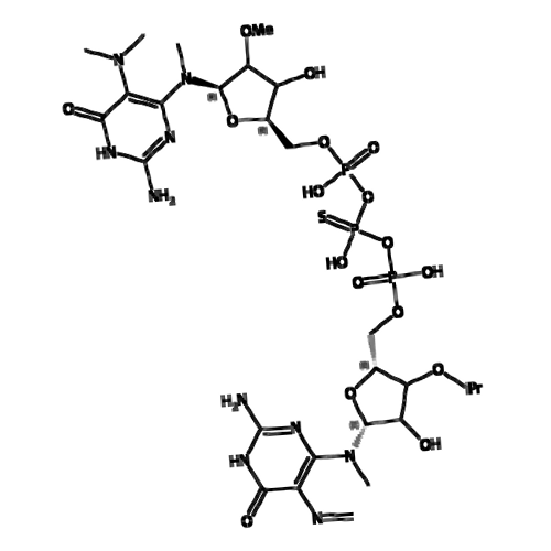 C=Nc1c(N(C)[C@@H]2O[C@H](COP(=O)(O)OP(O)(=S)OP(=O)(O)OC[C@H]3O[C@@H](N(C)c4nc(N)[nH]c(=O)c4N(C)C)C(OC)C3O)C(OC(C)C)C2O)nc(N)[nH]c1=O